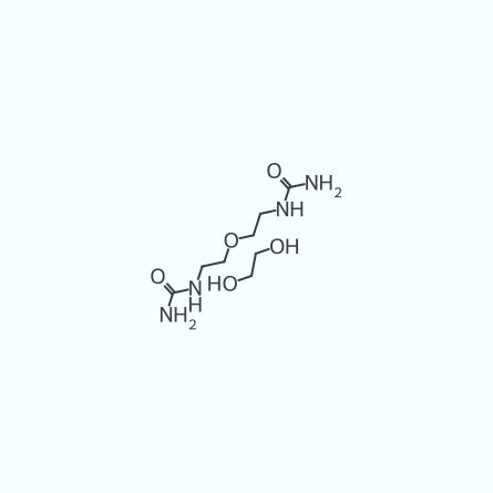 NC(=O)NCCOCCNC(N)=O.OCCO